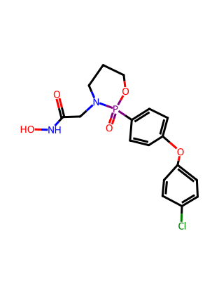 O=C(CN1CCCOP1(=O)c1ccc(Oc2ccc(Cl)cc2)cc1)NO